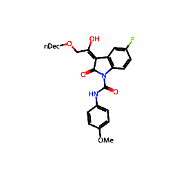 CCCCCCCCCCOCC(O)=C1C(=O)N(C(=O)Nc2ccc(OC)cc2)c2ccc(F)cc21